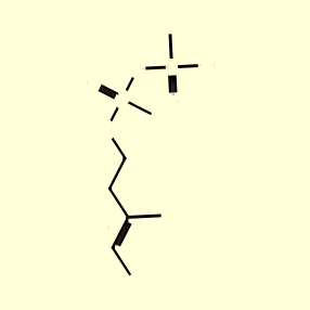 C/C=C(\C)CCOP(C)(=O)OP(C)(=O)O